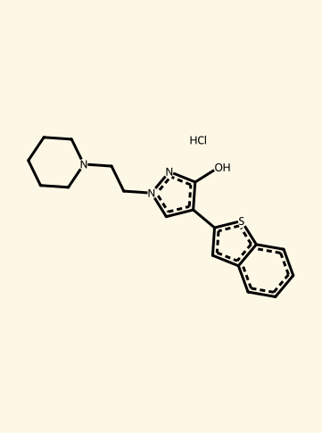 Cl.Oc1nn(CCN2CCCCC2)cc1-c1cc2ccccc2s1